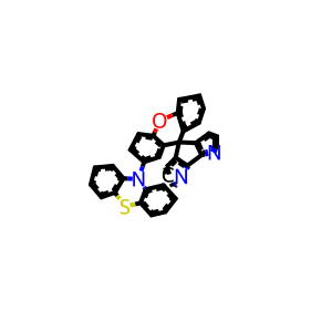 c1ccc2c(c1)Oc1ccc(N3c4ccccc4Sc4ccccc43)cc1C21c2cccnc2-c2ncccc21